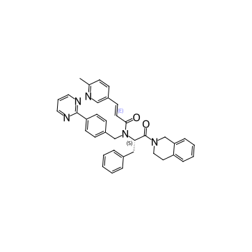 Cc1ccc(/C=C/C(=O)N(Cc2ccc(-c3ncccn3)cc2)[C@@H](Cc2ccccc2)C(=O)N2CCc3ccccc3C2)cn1